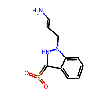 NC=CCn1[nH]c(=S(=O)=O)c2ccccc21